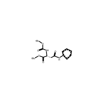 CC(C)(C)OC(=O)N[C@H](CC(=O)Nc1cc[c]cc1)C(=O)OC(C)(C)C